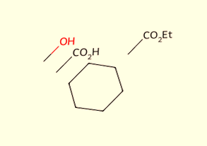 C1CCCCC1.CC(=O)O.CCOC(C)=O.CO